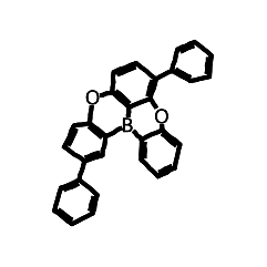 c1ccc(-c2ccc3c(c2)B2c4ccccc4Oc4c(-c5ccccc5)ccc(c42)O3)cc1